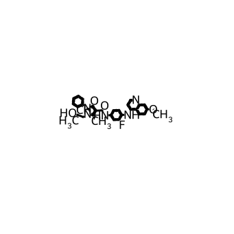 COc1ccc2c(Nc3ccc(NC(=O)c4c(C)n(CC(C)(C)O)n(-c5ccccc5)c4=O)cc3F)ccnc2c1